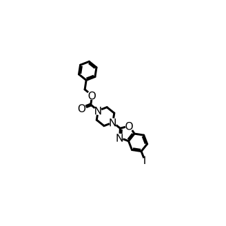 O=C(OCc1ccccc1)N1CCN(c2nc3cc(I)ccc3o2)CC1